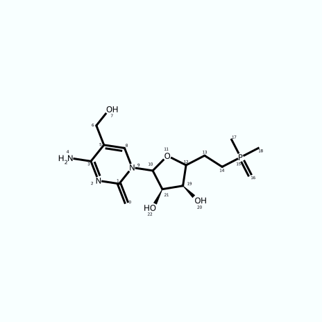 C=C1N=C(N)C(CO)=CN1C1OC(CCP(=C)(C)C)[C@@H](O)[C@H]1O